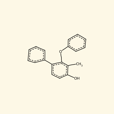 Cc1c(O)ccc(-c2ccccc2)c1Oc1ccccc1